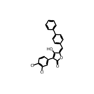 O=C1OC(=Cc2ccc(-c3ccccc3)cc2)C(O)=C1c1ccc(Cl)c(Cl)c1